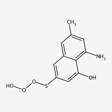 Cc1cc(N)c2c(O)cc(SOOO)cc2c1